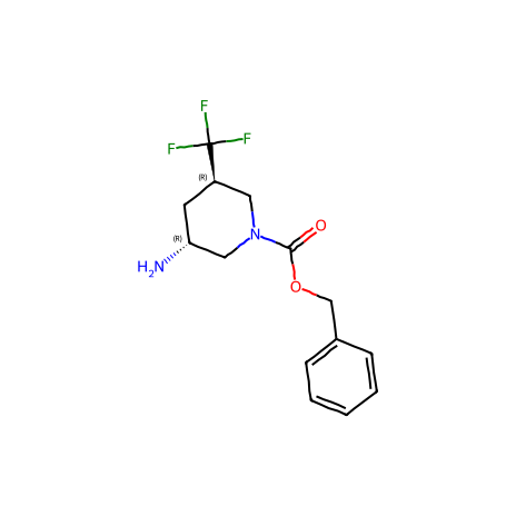 N[C@@H]1C[C@@H](C(F)(F)F)CN(C(=O)OCc2ccccc2)C1